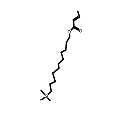 CC=CC(=O)OCCCCCCCCCCC[Si](C)(C)F